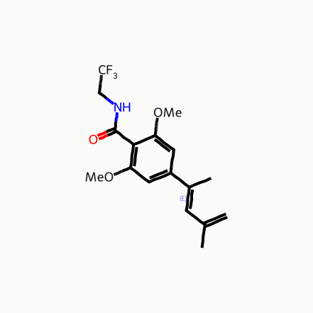 C=C(C)/C=C(\C)c1cc(OC)c(C(=O)NCC(F)(F)F)c(OC)c1